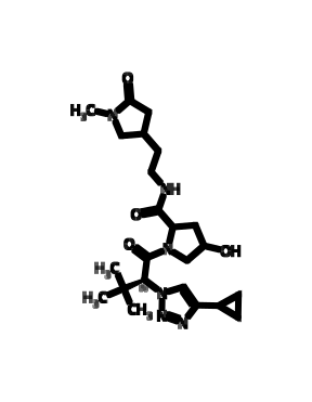 CN1CC(CCNC(=O)C2CC(O)CN2C(=O)[C@@H](n2cc(C3CC3)nn2)C(C)(C)C)CC1=O